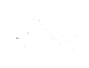 CC(C)S(=O)(=O)N(C)CC(OC(=O)[C@H](C)CS)C(=O)O